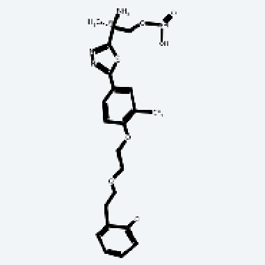 C[C@](N)(CO[PH](=O)O)c1nnc(-c2ccc(OCCOCCc3ccccc3Cl)c(C(F)(F)F)c2)s1